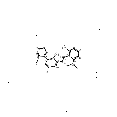 Cc1cc(-c2ccccc2C)c(O)c(C2CC(C)c3cccc(C(C)C)c3N2)c1